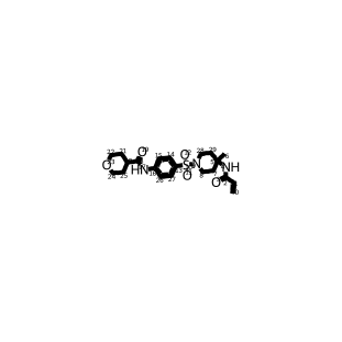 C=CC(=O)NC1(C)CCN(S(=O)(=O)c2ccc(NC(=O)C3CCOCC3)cc2)CC1